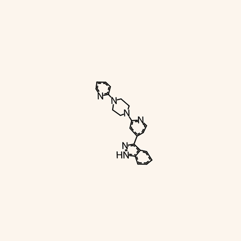 c1ccc(N2CCN(c3cc(-c4n[nH]c5ccccc45)ccn3)CC2)nc1